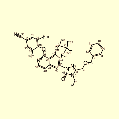 CCn1c(COCc2ccccc2)nn(-c2cc(OC(C)C(F)(F)F)c3c(Oc4c(F)cc(C#N)cc4F)nccc3c2)c1=O